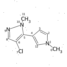 Cn1ccc(-c2c(Cl)cnn2C)c1